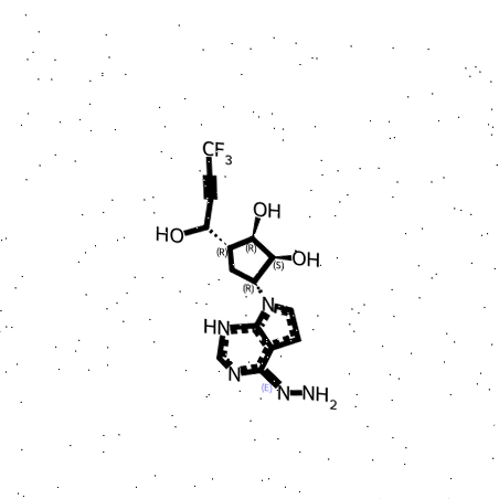 N/N=c1/nc[nH]c2c1ccn2[C@@H]1C[C@H](C(O)C#CC(F)(F)F)[C@@H](O)[C@H]1O